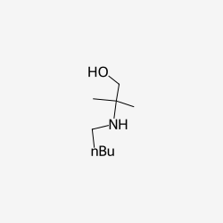 CCCCCNC(C)(C)CO